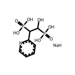 O=P(O)(O)C(O)C(c1ccccn1)P(=O)(O)O.[NaH]